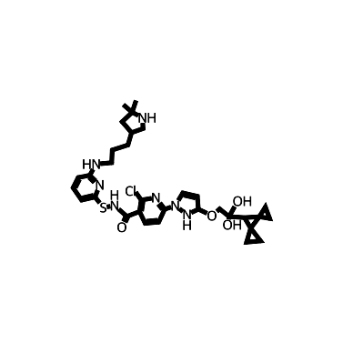 CC1(C)CC(CCCNc2cccc(SNC(=O)c3ccc(N4C=CC(OCC(O)(O)C5C6(CC6)C56CC6)N4)nc3Cl)n2)CN1